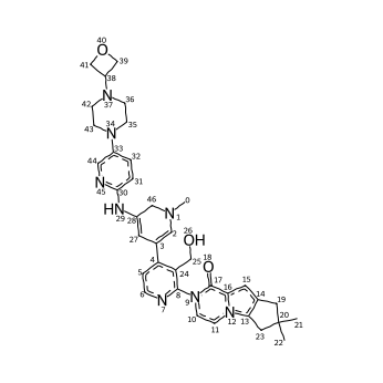 CN1C=C(c2ccnc(-n3ccn4c5c(cc4c3=O)CC(C)(C)C5)c2CO)C=C(Nc2ccc(N3CCN(C4COC4)CC3)cn2)C1